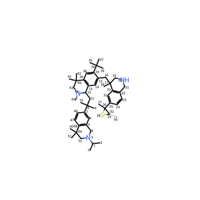 CC(C)N1Cc2cc(C(C)(C)CC3c4cc(CC5(C)CNCc6ccc(C7(C)S[C@H]7C)cc65)c(C(C)(C)C)cc4C(C)(C)CN3C)ccc2C(C)(C)C1